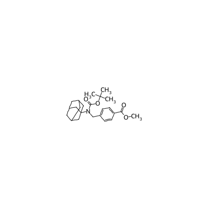 COC(=O)c1ccc(CN(C(=O)OC(C)(C)C)C23CC4CC(CC(C4)C2)C3)cc1